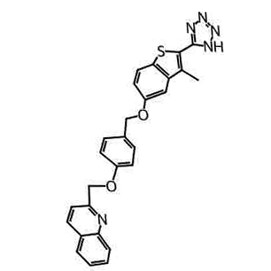 Cc1c(-c2nnn[nH]2)sc2ccc(OCc3ccc(OCc4ccc5ccccc5n4)cc3)cc12